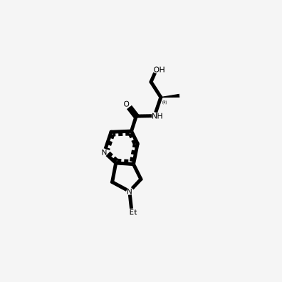 CCN1Cc2cc(C(=O)N[C@H](C)CO)cnc2C1